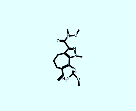 C=CC1=C(/N=C(\N)OC)c2c(c(C(=O)N(C)OC)nn2C)CCC1